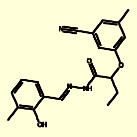 CCC(Oc1cc(C)cc(C#N)c1)C(=O)NN=Cc1cccc(C)c1O